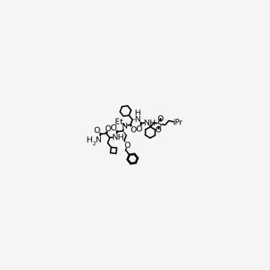 CCN(C(=O)[C@@H](NC(=O)NC1(CS(=O)(=O)CCC(C)C)CCCCC1)C1CCCCC1)[C@@H](CCOCc1ccccc1)C(=O)NC(CC1CCC1)C(=O)C(N)=O